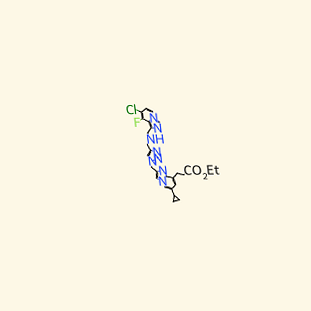 CCOC(=O)CCc1cc(C2CC2)cn2cc(Cn3cc(CNCc4ncn5ccc(Cl)c(F)c45)nn3)nc12